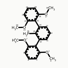 COc1cccc(OC)c1-c1cccc(-c2c(OC)cccc2OC)c1P